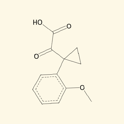 COc1ccccc1C1(C(=O)C(=O)O)CC1